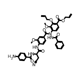 C=CCOC(=O)c1ccc(N(NC(=O)c2ccccc2)C(=O)c2ccc(NC(=O)C(CC#N)NC(=O)c3ccc(N)cc3)c(OC)c2)c(OC)c1OCC=C